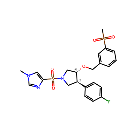 Cn1cnc(S(=O)(=O)N2C[C@H](OCc3cccc(S(C)(=O)=O)c3)[C@@H](c3ccc(F)cc3)C2)c1